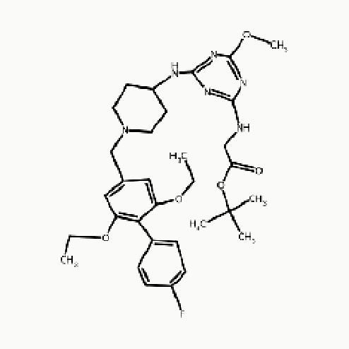 CCOc1cc(CN2CCC(Nc3nc(NCC(=O)OC(C)(C)C)nc(OC)n3)CC2)cc(OCC)c1-c1ccc(F)cc1